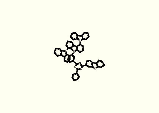 c1ccc(-c2nc(-c3cccc(-n4c5cccc(-n6c7ccccc7c7ccccc76)c5c5cccc(-n6c7ccccc7c7ccccc76)c54)c3)nc(-c3ccc4c(c3)oc3ccccc34)n2)cc1